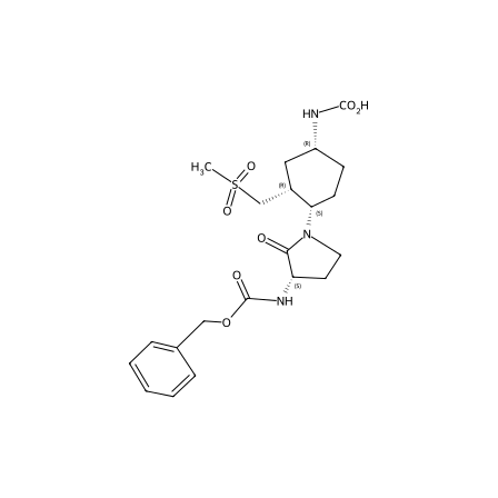 CS(=O)(=O)C[C@@H]1C[C@H](NC(=O)O)CC[C@@H]1N1CC[C@H](NC(=O)OCc2ccccc2)C1=O